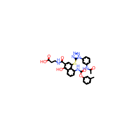 CC(=O)Nc1cccc(-n2nnnc2Sc2cc(C(=O)NCCC(=O)O)c(O)c3cccc(NC(=O)Oc4cccc(C)c4)c23)c1